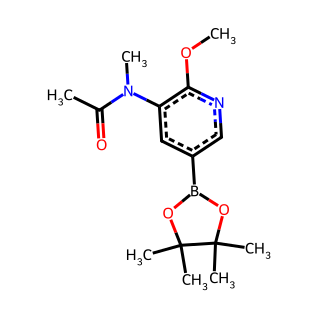 COc1ncc(B2OC(C)(C)C(C)(C)O2)cc1N(C)C(C)=O